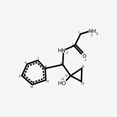 NCC(=O)NC(c1ccccc1)C1(O)CC1